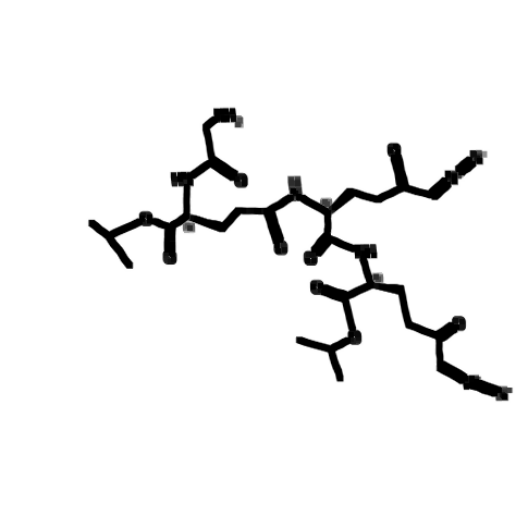 CC(C)OC(=O)[C@H](CCC(=O)N[C@@H](CCC(=O)C=[N+]=[N-])C(=O)N[C@@H](CCC(=O)C=[N+]=[N-])C(=O)OC(C)C)NC(=O)CN